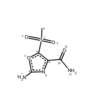 CS(=O)(=O)c1oc(N)nc1C(N)=O